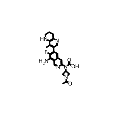 CC(=O)N1CC(N(C(=O)O)c2cc3cc(-c4cnc5c(c4C)NCCC5)c(F)c(N)c3cn2)C1